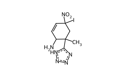 CC1(c2nnn[nH]2)CC(I)([N+](=O)[O-])C=CC1N